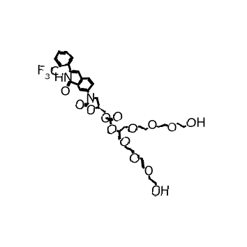 O=C(OC[C@@H]1CN(c2ccc3cc(-c4ccccc4C(F)(F)F)[nH]c(=O)c3c2)C(=O)O1)OC(COCCOCCOCCO)COCCOCCOCCO